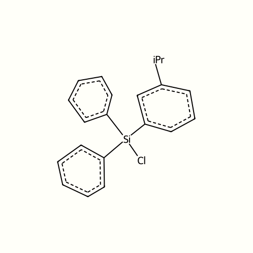 CC(C)c1cccc([Si](Cl)(c2ccccc2)c2ccccc2)c1